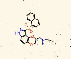 CCNC[C@H]1COc2ccc3[nH]nc(S(=O)(=O)c4cccc5ccccc45)c3c2O1